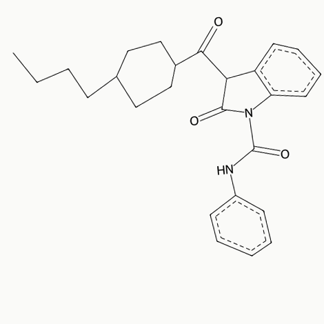 CCCCC1CCC(C(=O)C2C(=O)N(C(=O)Nc3ccccc3)c3ccccc32)CC1